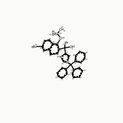 CC(C)C(O)(c1cn(C(c2ccccc2)(c2ccccc2)c2ccccc2)cn1)c1ccc2cc(C(C)(C)C)ccc2c1O[SiH](C)C